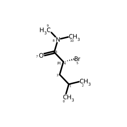 CC(C)C[C@@H](Br)C(=O)N(C)C